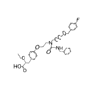 CCOC(Cc1ccc(OCCN(CCCCOCc2ccc(F)cc2)C(=O)NCc2ccccc2)cc1)C(=O)O